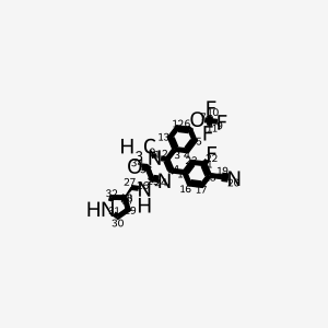 Cn1c(-c2ccc(OC(F)(F)F)cc2)c(-c2ccc(C#N)c(F)c2)nc(NC[C@H]2CCNC2)c1=O